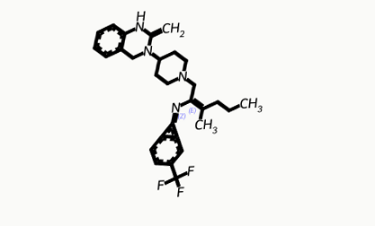 C=C1Nc2ccccc2CN1C1CCN(CC(/N=c2/c3ccc(C(F)(F)F)cc23)=C(/C)CCC)CC1